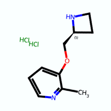 Cc1ncccc1OC[C@@H]1CCN1.Cl.Cl